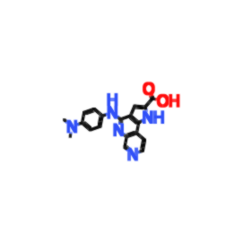 CN(C)c1ccc(Nc2nc3cnccc3c3[nH]c(C(=O)O)cc23)cc1